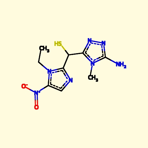 CCn1c([N+](=O)[O-])cnc1C(S)c1nnc(N)n1C